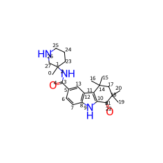 CC1(NC(=O)c2ccc3[nH]c4c(c3c2)C(C)(C)CC(C)(C)C4=O)CCCNC1